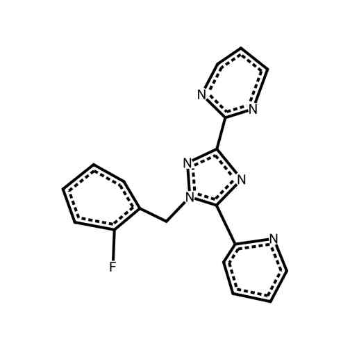 Fc1ccccc1Cn1nc(-c2ncccn2)nc1-c1ccccn1